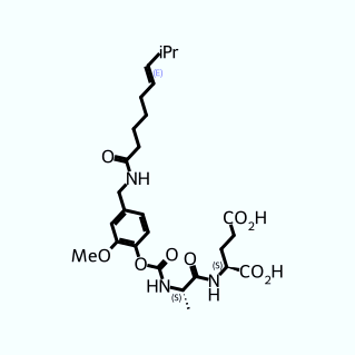 COc1cc(CNC(=O)CCCC/C=C/C(C)C)ccc1OC(=O)N[C@@H](C)C(=O)N[C@@H](CCC(=O)O)C(=O)O